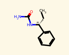 CC[C@@H](NC(N)=O)c1ccccc1